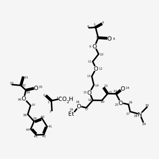 C=C(C)C(=O)O.C=C(C)C(=O)OCCOCCOC(COCC)CC(=C)C(=O)OCCN(C)C.C=C(C)C(=O)OCCc1ccccc1